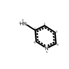 [NH]c1cccnc1